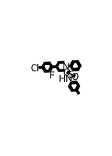 Cc1ccc(NS(=O)(=O)c2ccccc2N2CCC(c3ccc(Cl)cc3F)CC2)cc1